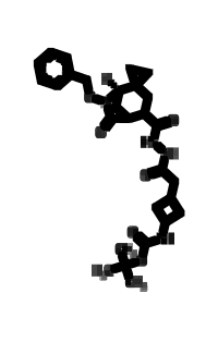 CC(C)(C)OC(=O)NC1CC(CC(=O)NNC(=O)C2CC3(CC3)[C@H]3CC2C(=O)N3OCc2ccccc2)C1